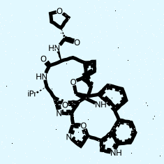 CC(C)[C@@H]1NC(=O)[C@@H](NC(=O)[C@@H]2CCOC2)Cc2ccc3c(c2)C24c5cccc(c5NC2O3)-c2cccc3[nH]cc(c23)-c2cnc(o2)-c2nc1oc24